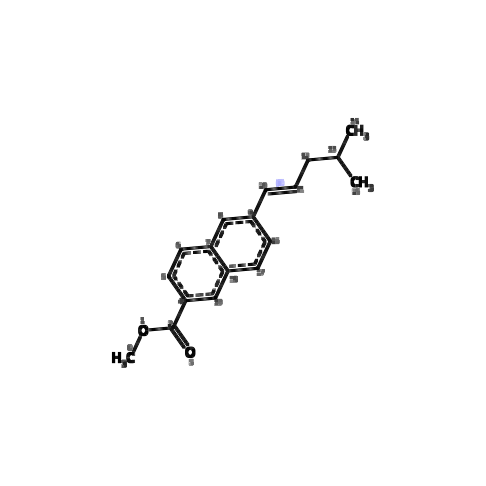 COC(=O)c1ccc2cc(/C=C/CC(C)C)ccc2c1